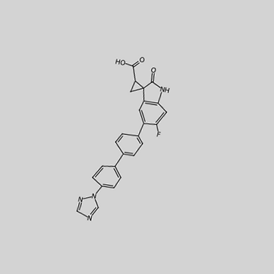 O=C(O)C1CC12C(=O)Nc1cc(F)c(-c3ccc(-c4ccc(-n5cncn5)cc4)cc3)cc12